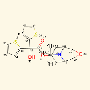 [2H]C([2H])([2H])N1C2CC(OC(=O)C(O)(c3cccs3)c3cccs3)CC1C1OC12